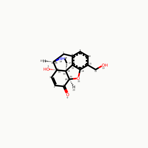 O=C1C=C[C@@]2(O)[C@H]3Cc4ccc(CO)c5c4[C@@]2(CCN3)[C@H]1O5